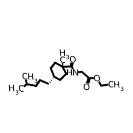 CCOC(=O)CNC(=O)[C@]1(C)CC[C@H](CCCC(C)C)CC1